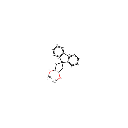 COCCC1(CCOC)c2ccccc2-c2ccccc21